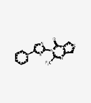 O=c1c2cscc2nc(C(F)(F)F)n1-c1nc(-c2ccccc2)cs1